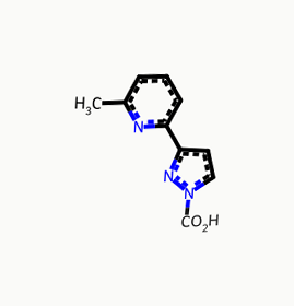 Cc1cccc(-c2ccn(C(=O)O)n2)n1